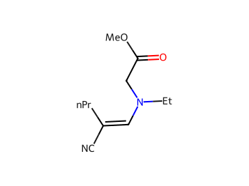 CCC/C(C#N)=C\N(CC)CC(=O)OC